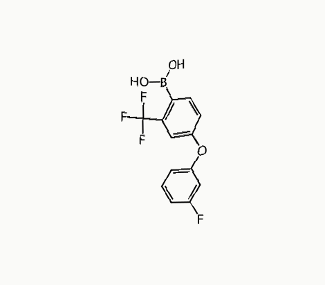 OB(O)c1ccc(Oc2cccc(F)c2)cc1C(F)(F)F